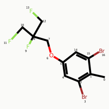 Cc1c(Br)cc(OCC(F)(CF)CF)cc1Br